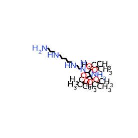 CC(C)(C)OC(=O)C(CNCCNCCCCCNCCCN)C(N)(C(=O)OC(C)(C)C)C(=O)OC(C)(C)C